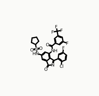 O=C(Nc1cc(NS(=O)(=O)C2CCCC2)cc2c1C(c1cc(F)ccc1Cl)=NC2=O)c1cc(F)cc(C(F)(F)F)c1